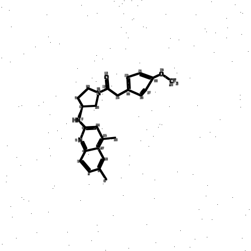 Cc1ccc2nc(N[C@H]3CCN(C(=O)Cc4ccc(OC(F)(F)F)cc4)C3)cc(C)c2c1